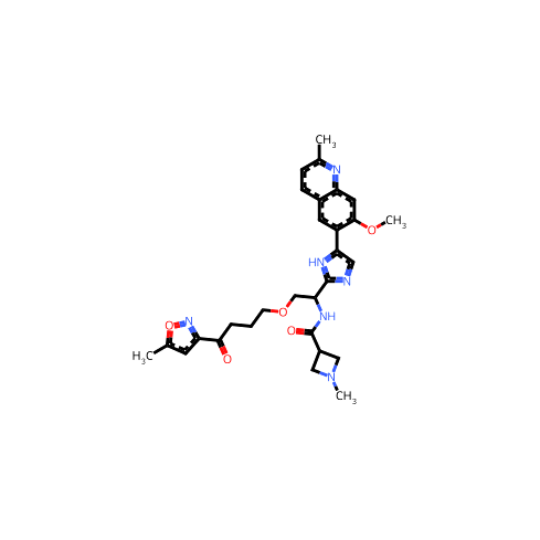 COc1cc2nc(C)ccc2cc1-c1cnc(C(COCCCC(=O)c2cc(C)on2)NC(=O)C2CN(C)C2)[nH]1